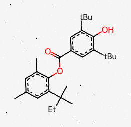 CCC(C)(C)c1cc(C)cc(C)c1OC(=O)c1cc(C(C)(C)C)c(O)c(C(C)(C)C)c1